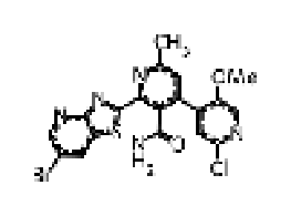 COc1cnc(Cl)cc1-c1cc(C)nc(-c2nc3ncc(Br)cc3s2)c1C(N)=O